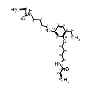 C=CC(=O)NCCCCOc1ccc(CC)c(OCCCCNC(=O)C=C)c1